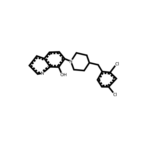 Oc1c(N2CCC(Cc3ccc(Cl)cc3Cl)CC2)ccc2cccnc12